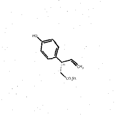 C=C[C@H](CC(=O)OCC)c1ccc(O)cc1